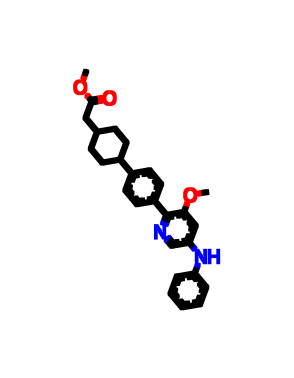 COC(=O)CC1CCC(c2ccc(-c3ncc(Nc4ccccc4)cc3OC)cc2)CC1